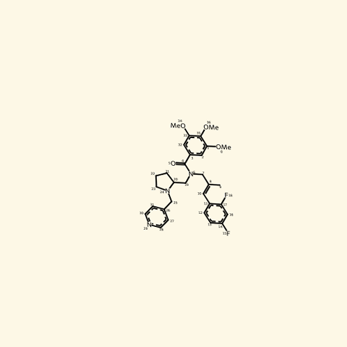 COc1cc(C(=O)N(CC(C)=Cc2ccc(F)cc2F)CC2CCCN2Cc2ccncc2)cc(OC)c1OC